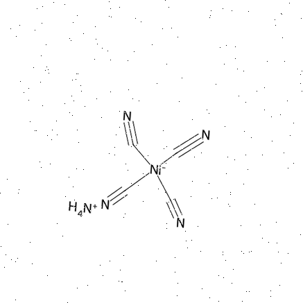 N#[C][Ni-]([C]#N)([C]#N)[C]#N.[NH4+]